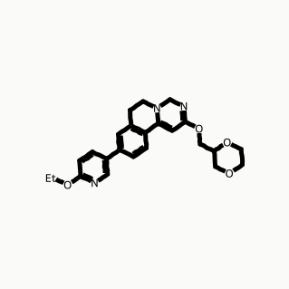 CCOc1ccc(-c2ccc3c(c2)CCN2CN=C(OCC4COCCO4)C=C32)cn1